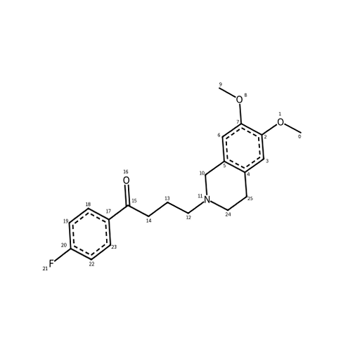 COc1cc2c(cc1OC)CN(CCCC(=O)c1ccc(F)cc1)CC2